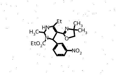 CCOC(=O)N1C(C)NC(CC)=C(C2=NC(C)(C)CO2)C1c1cccc([N+](=O)[O-])c1